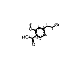 COc1cc(CCBr)ccc1C(=O)O